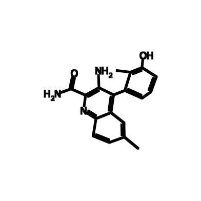 Cc1ccc2nc(C(N)=O)c(N)c(-c3cccc(O)c3C)c2c1